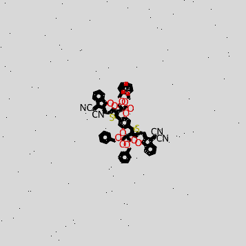 N#CC(C#N)=C1/C(=C/c2cc3c(s2)-c2cc4c(cc2OC3(C(=O)OCc2ccccc2)C(=O)OCc2ccccc2)-c2sc(/C=C3\C(=O)c5ccccc5C3=C(C#N)C#N)cc2C(C(=O)OCc2ccccc2)(C(=O)OCc2ccccc2)O4)C(=O)c2ccccc21